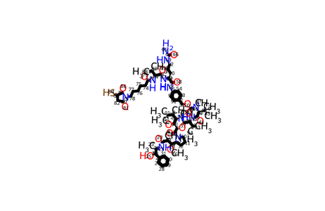 CC[C@H](C)[C@@H]([C@@H](CC(=O)N1CCCC1[C@H](OC)[C@@H](C)C(=O)NC(C)[C@@H](O)c1ccccc1)OC)N(C)C(=O)[C@@H](NC(=O)[C@H](C(C)C)N(C)C(=O)OCc1ccc(NC(=O)[C@H](CCCNC(N)=O)NC(=O)[C@@H](NC(=O)CCCCCN2C(=O)CC(S)C2=O)C(C)C)cc1)C(C)C